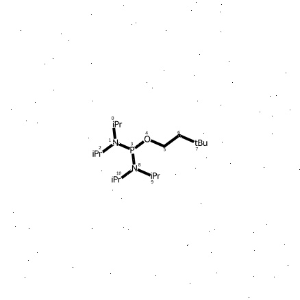 CC(C)N(C(C)C)P(OCCC(C)(C)C)N(C(C)C)C(C)C